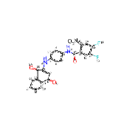 O=C1C=C(Nc2ccc(NC(=O)c3cc(F)c(F)cc3[N+](=O)[O-])cc2)C(=O)c2ccccc21